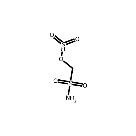 NS(=O)(=O)CO[SH](=O)=O